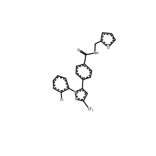 O=C(NCc1ccco1)c1ccc(-c2cc(C(F)(F)F)nn2-c2ccccc2Cl)cc1